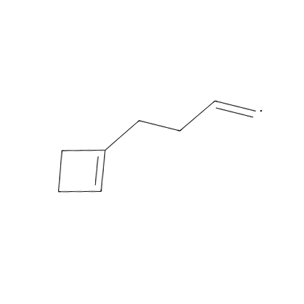 [CH]=CCCC1=CCC1